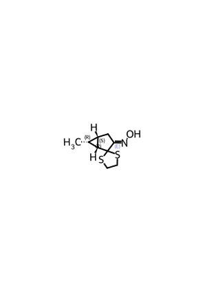 C[C@@H]1[C@@H]2C/C(=N\O)C3(SCCS3)[C@H]12